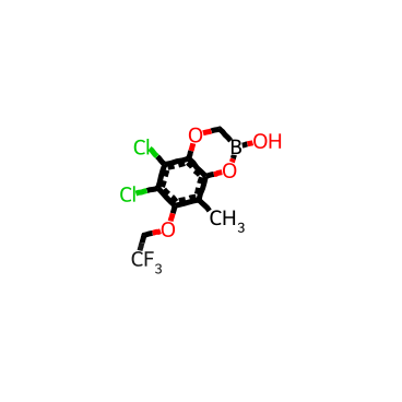 Cc1c(OCC(F)(F)F)c(Cl)c(Cl)c2c1OB(O)CO2